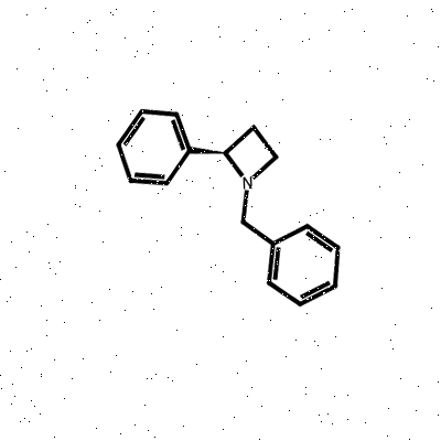 c1ccc(CN2CC[C@@H]2c2ccccc2)cc1